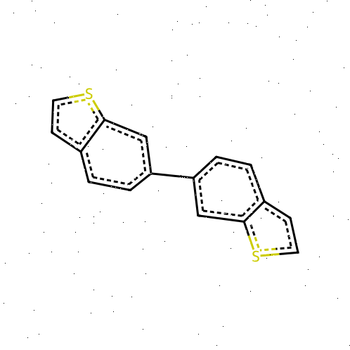 c1cc2ccc(-c3ccc4ccsc4c3)cc2s1